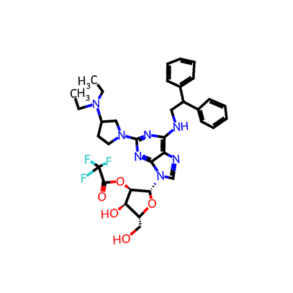 CCN(CC)C1CCN(c2nc(NCC(c3ccccc3)c3ccccc3)c3ncn([C@@H]4O[C@H](CO)[C@@H](O)[C@H]4OC(=O)C(F)(F)F)c3n2)C1